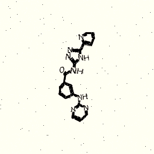 O=C(Nc1nnc(-c2ccccn2)[nH]1)c1cccc(Nc2ncccn2)c1